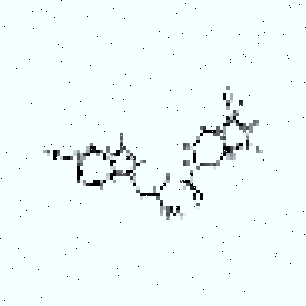 O=C(CC(Cc1n[nH]c2cc(F)ccc12)[N+](=O)[O-])N1CCn2c(nnc2C(F)(F)F)C1